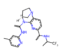 C=C(NC(C)C(F)(F)F)c1ccc2c(n1)N(C(=C)Nc1cc(C)ccn1)[C@H]1CCN2C1